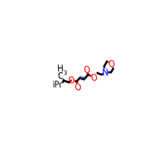 CC(C)C(C)COC(=O)/C=C/C(=O)OCCN1CCOCC1